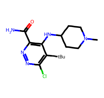 CN1CCC(Nc2c(C(N)=O)nnc(Cl)c2C(C)(C)C)CC1